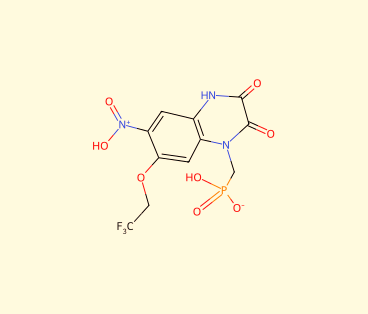 O=c1[nH]c2cc([N+](=O)O)c(OCC(F)(F)F)cc2n(CP(=O)([O-])O)c1=O